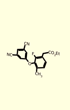 CCOC(=O)Cc1ccc(C)c(Oc2cc(C#N)cc(C#N)c2)c1F